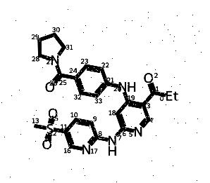 CCC(=O)c1cnc(Nc2ccc(S(C)(=O)=O)cn2)cc1Nc1ccc(C(=O)N2CCCC2)cc1